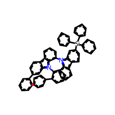 c1ccc(-c2ccc3c4cccc(-n5c6ccccc6c6ccc([Si](c7ccccc7)(c7ccccc7)c7ccccc7)cc65)c4n(-c4ccccc4-c4ccccc4)c3c2)cc1